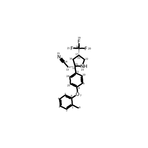 Cc1ccccc1Oc1ccc([C@@]2(CC#N)C[C@H](C(F)(F)F)CN2)cc1